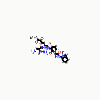 CNC(=O)C(=O)CC[C@H](NC(=O)/C(=C/N)N(C)N)C(=O)Nc1cccn(CC(=O)NC2C3CCCC(C3)CN2C)c1=O